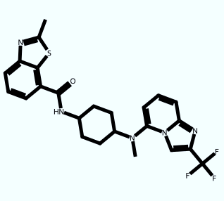 Cc1nc2cccc(C(=O)NC3CCC(N(C)c4cccc5nc(C(F)(F)F)cn45)CC3)c2s1